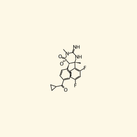 CN1C(=N)N[C@](C)(c2ccc(F)cc2F)[C@@H](c2ccc(C(=O)C3CC3)cc2)S1(=O)=O